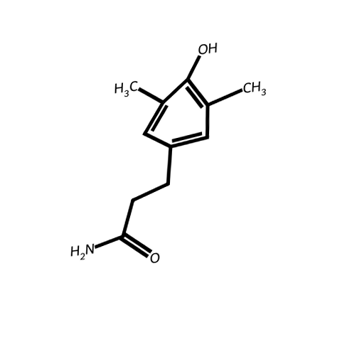 Cc1cc(CCC(N)=O)cc(C)c1O